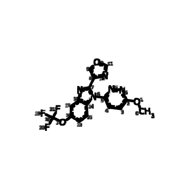 COc1ccc(-n2c(-c3cocn3)nc3cc(OC(F)(F)F)ccc32)nn1